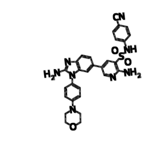 N#Cc1ccc(NS(=O)(=O)c2cc(-c3ccc4nc(N)n(-c5ccc(N6CCOCC6)cc5)c4c3)cnc2N)cc1